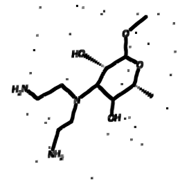 COC1O[C@H](C)C(O)C(N(CCN)CCN)[C@@H]1O